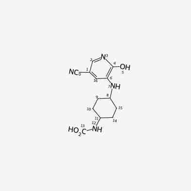 N#Cc1cnc(O)c(NC2CCC(NC(=O)O)CC2)c1